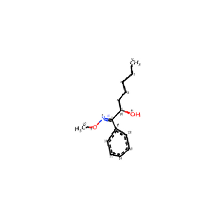 CCCCC[C@@H](O)/C(=N/OC)c1ccccc1